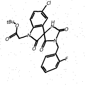 CC(C)(C)OC(=O)CN1C(=O)C2(NC(=O)N(Cc3ccccc3F)C2=O)c2cc(Cl)ccc21